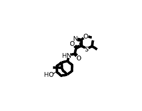 COc1noc(C(=O)NC2CCC3CC(C)C2C[C@@H](O)C3)c1SC(C)C